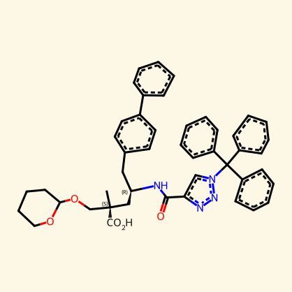 C[C@@](COC1CCCCO1)(C[C@@H](Cc1ccc(-c2ccccc2)cc1)NC(=O)c1cn(C(c2ccccc2)(c2ccccc2)c2ccccc2)nn1)C(=O)O